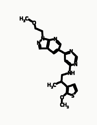 COCCn1ncc2cc(-c3cc(NCC(C)c4ccsc4OC)ncn3)cnc21